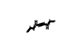 CCCNC#CNCC